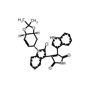 CC1(C)O[C@H]2C=C[C@H](n3c(Cl)c(C4=C(c5c[nH]c6ccccc56)C(=O)NC4=O)c4ccccc43)C[C@H]2O1